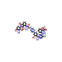 COc1cc(N2CCN(CCC(=O)Nc3cccc4c3C(=O)N(C3CCC(=O)NC3=O)C4=O)CC2)ccc1Nc1ncc(Cl)c(Nc2ccccc2N(C)S(C)(=O)=O)n1